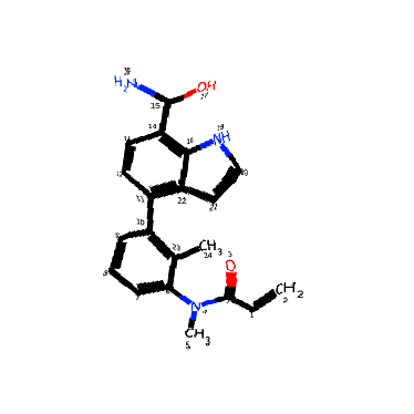 C=CC(=O)N(C)c1cccc(-c2ccc(C(N)O)c3[nH]ccc23)c1C